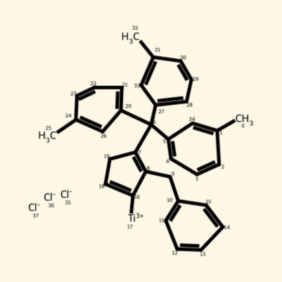 Cc1cccc(C(C2=C(Cc3ccccc3)[C]([Ti+3])=CC2)(c2cccc(C)c2)c2cccc(C)c2)c1.[Cl-].[Cl-].[Cl-]